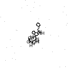 C=CS(=O)(=O)Nc1cc2c(Nc3cc4[nH]nc(CCc5ccccc5)c4c4ccccc34)ncnc2cn1